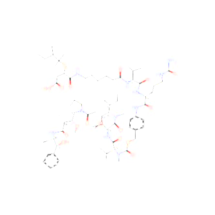 CCC(C)C(C)(C)SC(CC(=O)O)C(=O)NCCCCCC(=O)N[C@H](C(=O)N[C@@H](CCCNC(N)=O)C(=O)Nc1ccc(COC(=O)N(C)[C@H](C(=O)N[C@H](C(=O)N(C)[C@@H]([C@@H](C)CC)[C@@H](CC(=O)N2CCC[C@H]2[C@H](OC)[C@@H](C)C(=O)N[C@H](C)[C@@H](O)c2ccccc2)OC)C(C)C)C(C)C)cc1)C(C)C